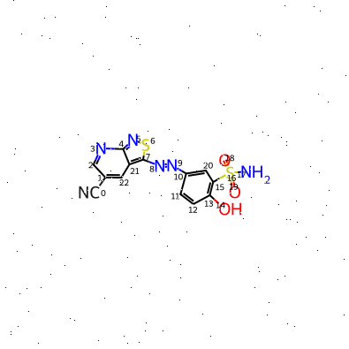 N#Cc1cnc2nsc(/N=N/c3ccc(O)c(S(N)(=O)=O)c3)c2c1